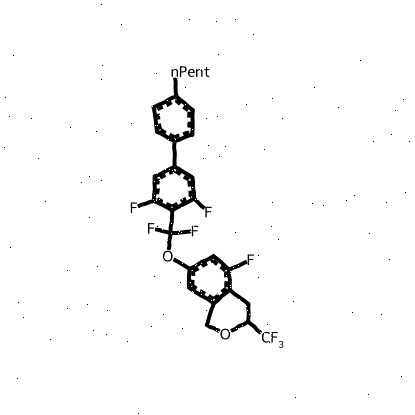 CCCCCc1ccc(-c2cc(F)c(C(F)(F)Oc3cc(F)c4c(c3)COC(C(F)(F)F)C4)c(F)c2)cc1